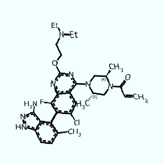 C=CC(=O)N1C[C@H](C)N(c2nc(OCCN(CC)CC)nc3c(F)c(-c4c(C)ccc5[nH]nc(N)c45)c(Cl)cc23)C[C@H]1C